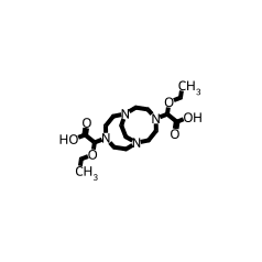 CCOC(C(=O)O)N1CCN2CCN(CC1)CCN(C(OCC)C(=O)O)CC2